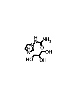 NC(=O)NN1CCNC1.OCC(O)CO